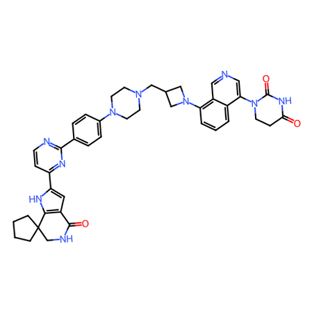 O=C1CCN(c2cncc3c(N4CC(CN5CCN(c6ccc(-c7nccc(-c8cc9c([nH]8)C8(CCCC8)CNC9=O)n7)cc6)CC5)C4)cccc23)C(=O)N1